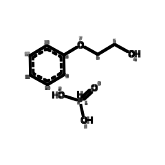 O=[PH](O)O.OCCOc1ccccc1